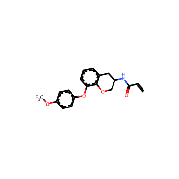 C=CC(=O)NC1COc2c(cccc2Oc2ccc(OC(F)(F)F)cc2)C1